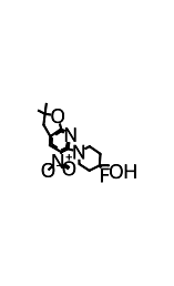 CC1(C)Cc2cc([N+](=O)[O-])c(N3CCC(F)(CO)CC3)nc2O1